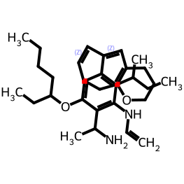 C=CNc1c(C(C)N)c(OC(CC)CCCC)cc(C2=C\C3=C(CC/C=C\2)OCCC3)c1C(C)CC